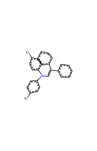 CCc1ccc(N(C=C(c2ccccc2)c2ccccc2)c2ccc(CC)cc2)cc1